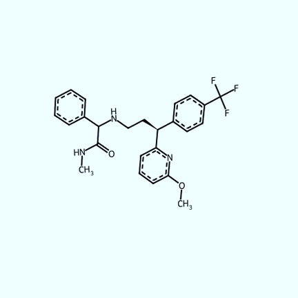 CNC(=O)C(NCC[C@@H](c1ccc(C(F)(F)F)cc1)c1cccc(OC)n1)c1ccccc1